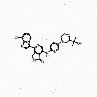 CC(C)(O)C1CN(c2ccc(Nc3cnc(-c4cnc5c(Cl)cccn45)c4c3C(=O)NC4)nc2)CCO1